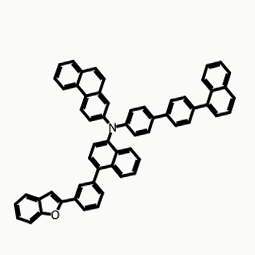 c1cc(-c2cc3ccccc3o2)cc(-c2ccc(N(c3ccc(-c4ccc(-c5cccc6ccccc56)cc4)cc3)c3ccc4c(ccc5ccccc54)c3)c3ccccc23)c1